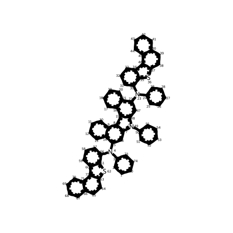 c1ccc(N(c2cc3c(c4ccccc24)c2c4ccccc4c(N(c4ccccc4)c4cccc5c4sc4ccc6ccccc6c45)cc2n3-c2ccccc2)c2cccc3c2sc2ccc4ccccc4c23)cc1